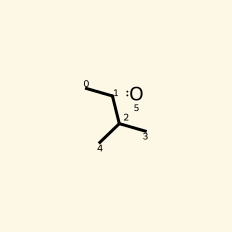 CCC(C)C.[O]